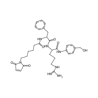 N=C(N)NCCCC(NC(=O)C(Cc1ccccc1)NC(=O)CCCCCN1C(=O)C=CC1=O)C(=O)Nc1ccc(CO)cc1